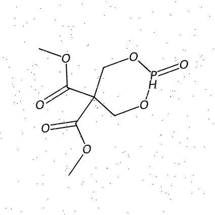 COC(=O)C1(C(=O)OC)CO[PH](=O)OC1